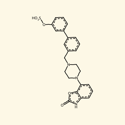 O=c1[nH]c2cccc(N3CCN(Cc4cccc(-c5cccc(OS(=O)(=O)O)c5)c4)CC3)c2o1